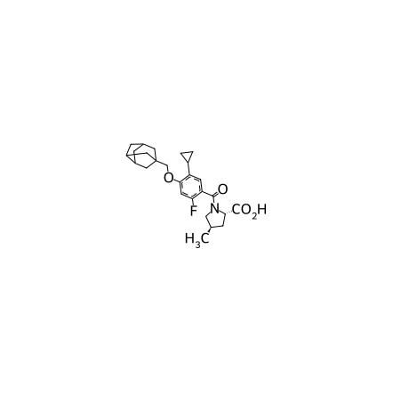 C[C@@H]1C[C@@H](C(=O)O)N(C(=O)c2cc(C3CC3)c(OCC34CC5CC(C3)C(C5)C4)cc2F)C1